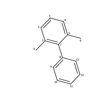 Cc1c[c]cc(C)c1-c1ccccc1